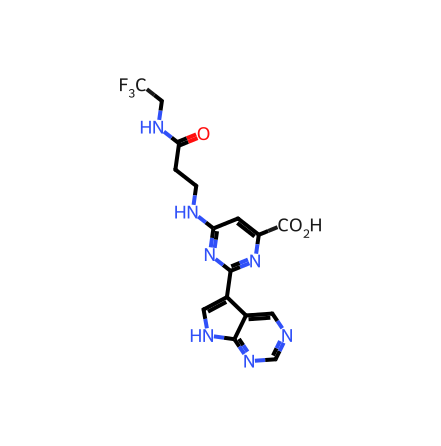 O=C(CCNc1cc(C(=O)O)nc(-c2c[nH]c3ncncc23)n1)NCC(F)(F)F